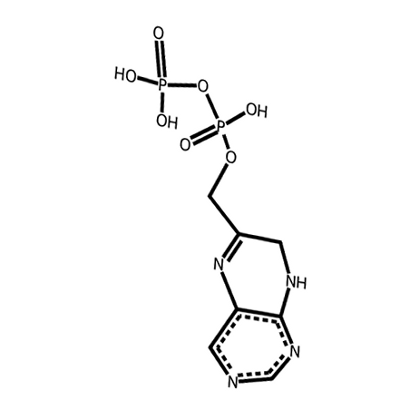 O=P(O)(O)OP(=O)(O)OCC1=Nc2cncnc2NC1